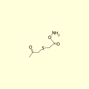 CC(=O)CSCC(=O)ON